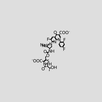 C[C@H](O)[C@H]1C(=O)N2C(C(=O)[O-])=C(COC(=O)NC3CCN(c4nc5c(cc4F)c(=O)c(C(=O)[O-])cn5-c4ccc(F)cc4F)C3)S[C@@H]12.[Na+].[Na+]